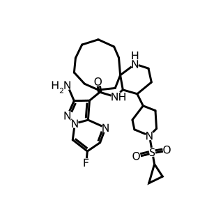 Nc1nn2cc(F)cnc2c1C(=O)NC1C(C2CCN(S(=O)(=O)C3CC3)CC2)CCNC12CCCCCCCCC2